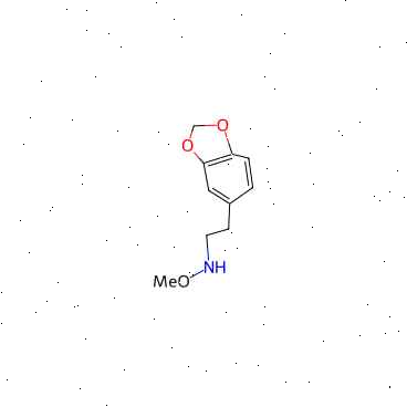 CONCCc1ccc2c(c1)OCO2